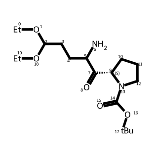 CCOC(CCC(N)C(=O)[C@@H]1CCCN1C(=O)OC(C)(C)C)OCC